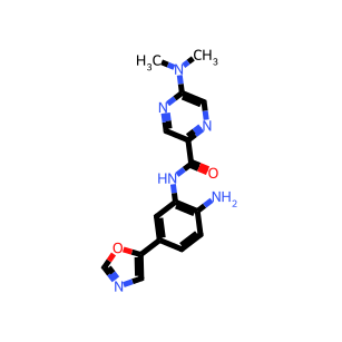 CN(C)c1cnc(C(=O)Nc2cc(-c3cnco3)ccc2N)cn1